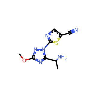 COc1nc(C(C)N)n(-c2ncc(C#N)s2)n1